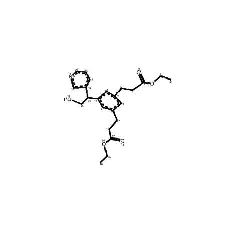 CCOC(=O)CCc1cc(CCC(=O)OCC)cc(C(CO)c2cccnc2)c1